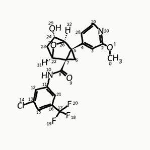 COc1cc([C@@]23C[C@]2(C(=O)Nc2cc(Cl)cc(C(F)(F)F)c2)[C@H]2C[C@H](O)[C@@H]3O2)ccn1